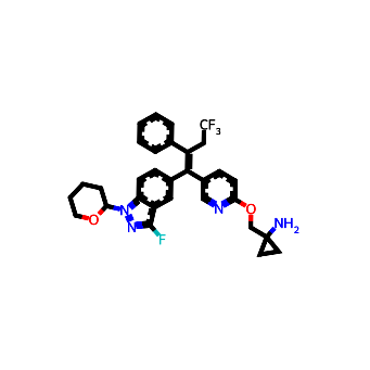 NC1(COc2ccc(C(=C(CC(F)(F)F)c3ccccc3)c3ccc4c(c3)c(F)nn4C3CCCCO3)cn2)CC1